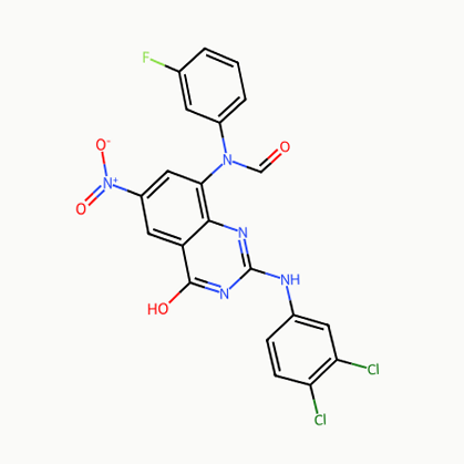 O=CN(c1cccc(F)c1)c1cc([N+](=O)[O-])cc2c(O)nc(Nc3ccc(Cl)c(Cl)c3)nc12